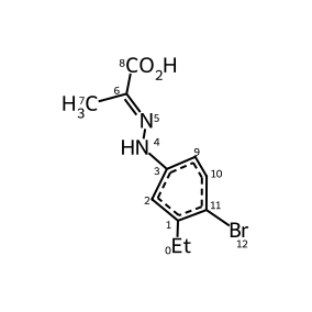 CCc1cc(NN=C(C)C(=O)O)ccc1Br